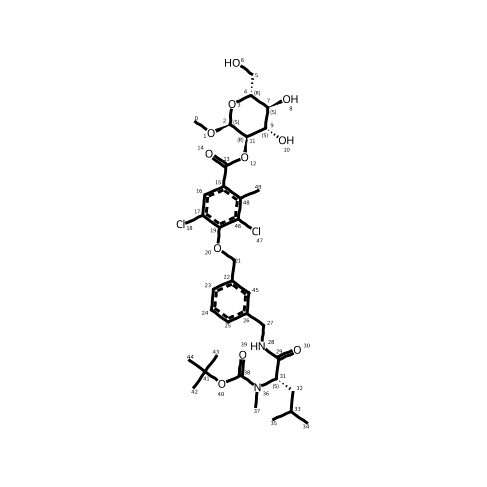 CO[C@H]1O[C@H](CO)[C@@H](O)[C@H](O)[C@H]1OC(=O)c1cc(Cl)c(OCc2cccc(CNC(=O)[C@H](CC(C)C)N(C)C(=O)OC(C)(C)C)c2)c(Cl)c1C